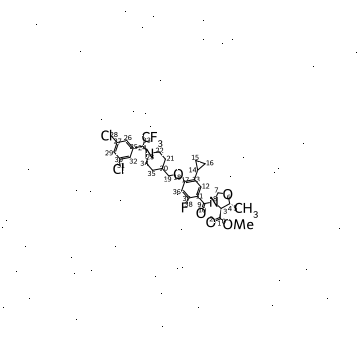 COC(=O)[C@@H]1[C@@H](C)OCN1C(=O)c1cc(C2CC2)c(OCC2CCN(C(c3cc(Cl)cc(Cl)c3)C(F)(F)F)CC2)cc1F